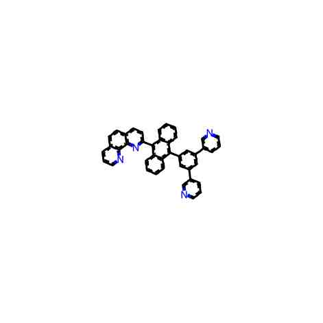 c1cncc(-c2cc(-c3cccnc3)cc(-c3c4ccccc4c(-c4ccc5ccc6cccnc6c5n4)c4ccccc34)c2)c1